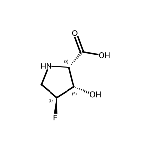 O=C(O)[C@H]1NC[C@H](F)[C@H]1O